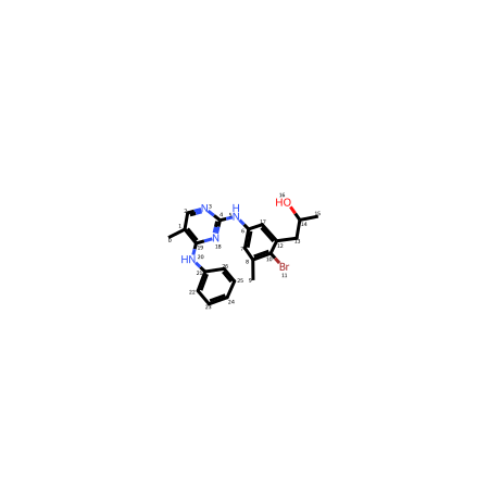 Cc1cnc(Nc2cc(C)c(Br)c(CC(C)O)c2)nc1Nc1ccccc1